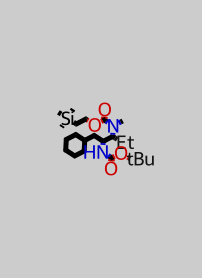 CCC(C(CC1CCCCC1)NC(=O)OC(C)(C)C)N(C)C(=O)OCC[Si](C)(C)C